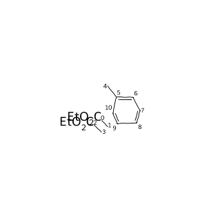 CCOC(C)=O.CCOC(C)=O.Cc1ccccc1